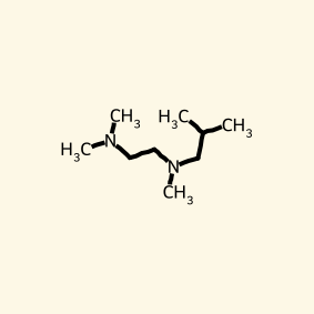 CC(C)CN(C)CCN(C)C